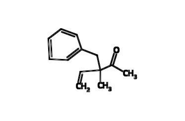 C=CC(C)(Cc1ccccc1)C(C)=O